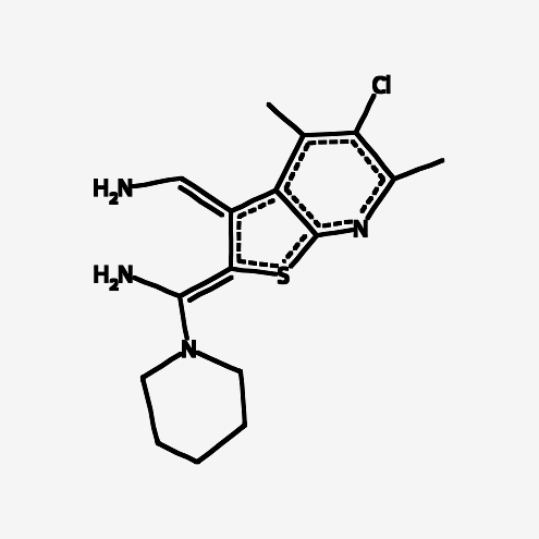 Cc1nc2sc(=C(/N)N3CCCCC3)/c(=C\N)c2c(C)c1Cl